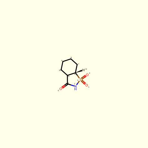 O=C1NS(=O)(=O)[C@H]2CCCCC12